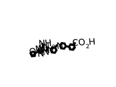 Nc1nc(N2CCCC(CN3CCC(c4cccc(C(=O)O)c4)CC3)C2)nc2nc(-c3ccco3)nn12